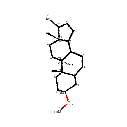 CCCCO[C@H]1CC[C@@]2(C)C(CCC3C4CCC(C(C)=O)[C@@]4(C)CC[C@@H]32)C1